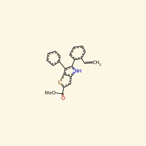 C=Cc1ccccc1-c1[nH]c2cc(C(=O)OC)sc2c1-c1ccccc1